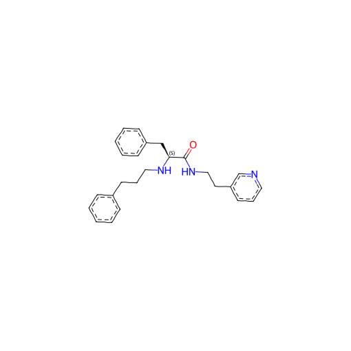 O=C(NCCc1cccnc1)[C@H](Cc1ccccc1)NCCCc1ccccc1